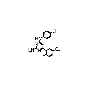 COc1ccc(C)c(-c2cc(Nc3ccc(Cl)cc3)nc(N)n2)c1